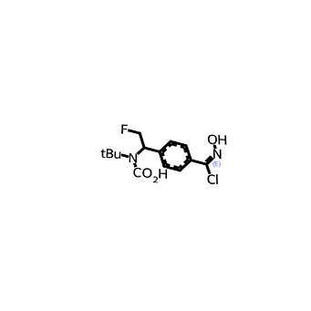 CC(C)(C)N(C(=O)O)C(CF)c1ccc(/C(Cl)=N\O)cc1